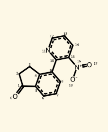 O=C1CCc2c1cccc2-c1ncccc1[N+](=O)[O-]